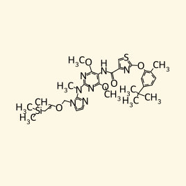 COc1nc(N(C)c2nccn2COCC[Si](C)(C)C)nc(OC)c1NC(=O)c1csc(Oc2cc(C(C)(C)C)ccc2C)n1